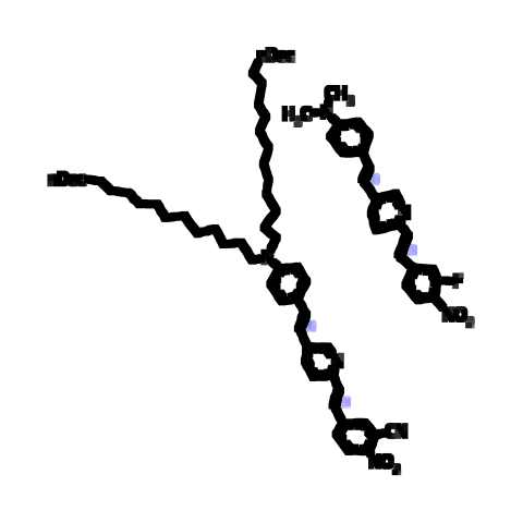 CCCCCCCCCCCCCCCCCCCCCCN(CCCCCCCCCCCCCCCCCCCCCC)c1ccc(/C=C/c2ccc(/C=C/c3ccc([N+](=O)[O-])c(C#N)c3)nc2)cc1.CN(C)c1ccc(/C=C/c2ccc(/C=C/c3ccc([N+](=O)[O-])c(F)c3)nc2)cc1